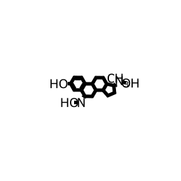 C[C@]12CCC3c4ccc(O)cc4/C(=N\O)CC3C1CC/C2=N\O